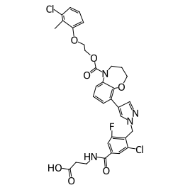 Cc1c(Cl)cccc1OCCOC(=O)N1CCCOc2c(-c3cnn(Cc4c(F)cc(C(=O)NCCC(=O)O)cc4Cl)c3)cccc21